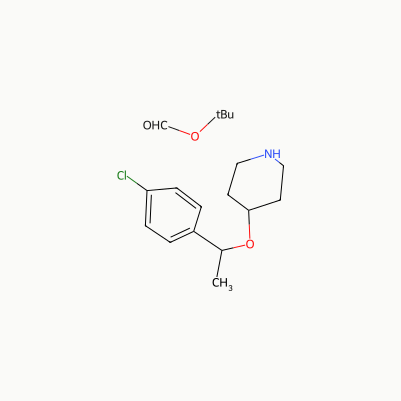 CC(C)(C)OC=O.CC(OC1CCNCC1)c1ccc(Cl)cc1